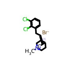 C[N+]12CCC(CC1)/C(=C/Cc1cccc(Cl)c1Cl)C2.[Br-]